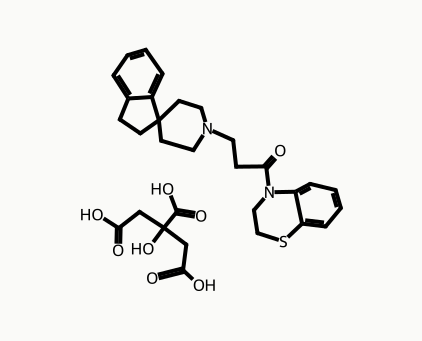 O=C(CCN1CCC2(CCc3ccccc32)CC1)N1CCSc2ccccc21.O=C(O)CC(O)(CC(=O)O)C(=O)O